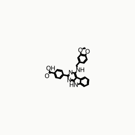 O=C(O)c1ccc(-c2nc(NCc3ccc4c(c3)OCO4)c3c(n2)[nH]c2ccccc23)cc1